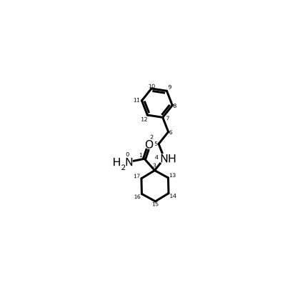 NC(=O)C1(NCCc2ccccc2)CCCCC1